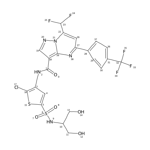 O=C(Nc1cc(S(=O)(=O)NC(CO)CO)sc1Cl)c1cnn2c(C(F)F)cc(-c3ccc(C(F)(F)F)cc3)nc12